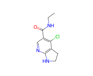 CCNC(=O)c1cnc2c(c1Cl)CCN2